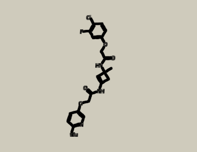 CC1(NC(=O)COc2ccc(Cl)c(F)c2)C=C(NC(=O)COc2ccc(C(C)(C)C)nc2)C1